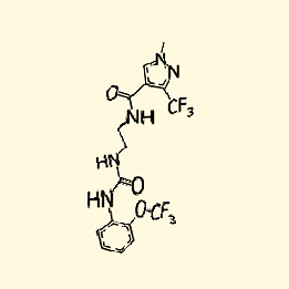 Cn1cc(C(=O)NCCNC(=O)Nc2ccccc2OC(F)(F)F)c(C(F)(F)F)n1